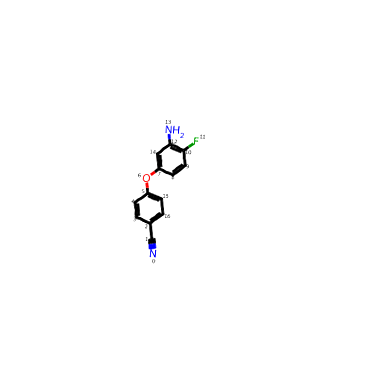 N#Cc1ccc(Oc2ccc(F)c(N)c2)cc1